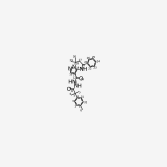 Cc1ccc(C(C)(C)C(=O)NNC(=O)c2cnn3c2NC(c2ccccc2)CC3(C)C)cc1